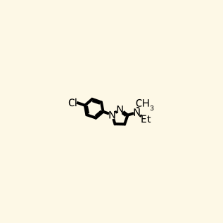 CCN(C)C1=NN(c2ccc(Cl)cc2)CC1